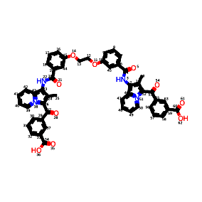 Cc1c(NC(=O)c2cccc(OCCOc3cccc(C(=O)Nc4c(C)c(C(=O)c5cccc(C(=O)O)c5)n5ccccc45)c3)c2)c2ccccn2c1C(=O)c1cccc(C(=O)O)c1